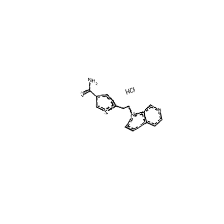 Cl.NC(=O)c1csc(Cn2ccc3ccncc32)c1